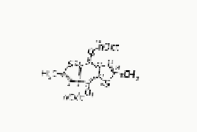 CCCCCCCCOc1c2cc(C)sc2c(OCCCCCCCC)c2cc(C)sc12